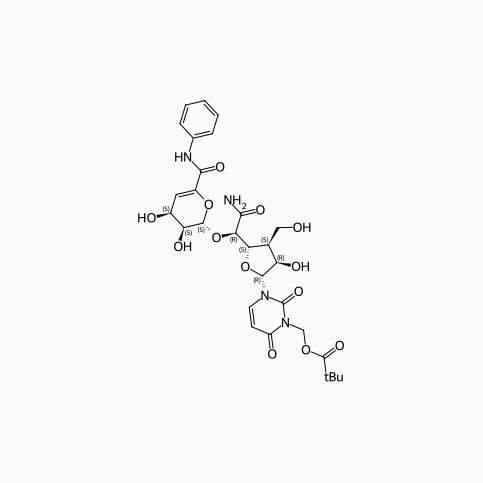 CC(C)(C)C(=O)OCn1c(=O)ccn([C@@H]2O[C@H]([C@@H](O[C@H]3OC(C(=O)Nc4ccccc4)=C[C@H](O)[C@@H]3O)C(N)=O)[C@@H](CO)[C@H]2O)c1=O